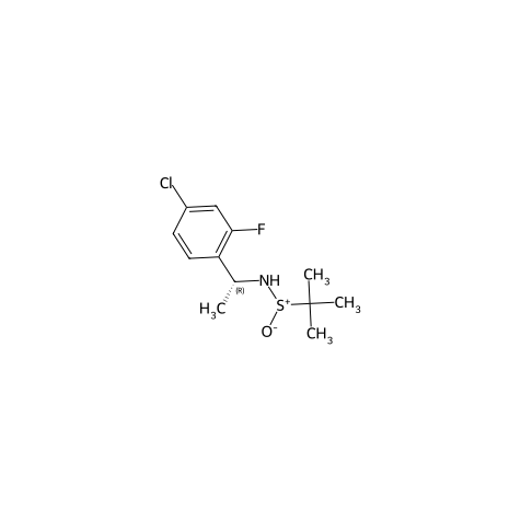 C[C@@H](N[S+]([O-])C(C)(C)C)c1ccc(Cl)cc1F